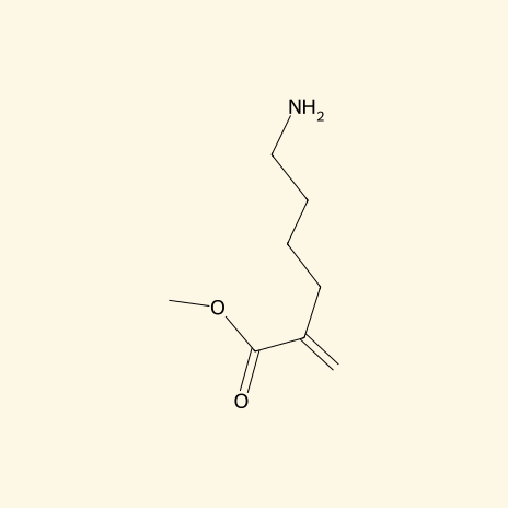 C=C(CCCCN)C(=O)OC